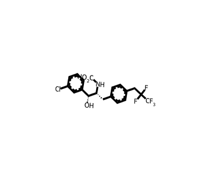 O=C(O)N[C@H](Cc1ccc(CC(F)(F)C(F)(F)F)cc1)[C@H](O)c1cccc(Cl)c1